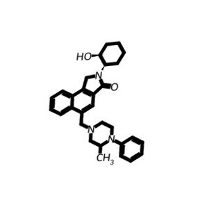 CC1CN(Cc2cc3c(c4ccccc24)CN([C@H]2CCCC[C@@H]2O)C3=O)CCN1c1ccccc1